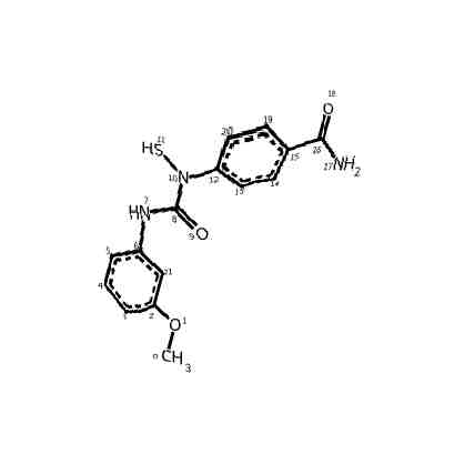 COc1cccc(NC(=O)N(S)c2ccc(C(N)=O)cc2)c1